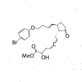 COC(=O)C(O)CC=C=CC[C@H]1C(=O)CC[C@@H]1/C=C/CCOc1ccc(Br)cc1